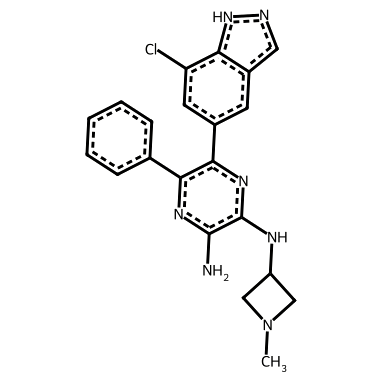 CN1CC(Nc2nc(-c3cc(Cl)c4[nH]ncc4c3)c(-c3ccccc3)nc2N)C1